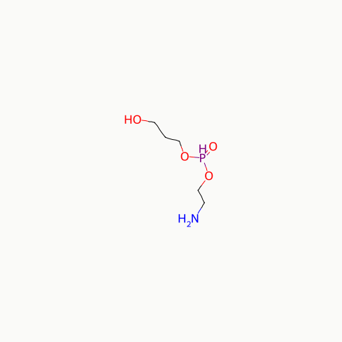 NCCO[PH](=O)OCCCO